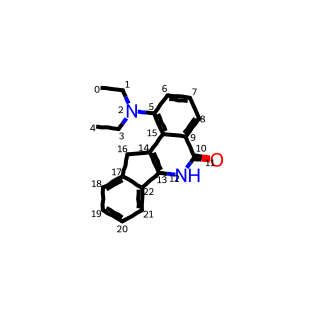 CCN(CC)c1cccc2c(=O)[nH]c3c(c12)Cc1ccccc1-3